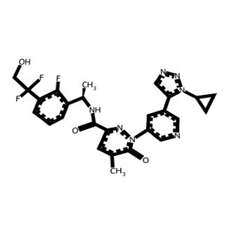 Cc1cc(C(=O)N[C@H](C)c2cccc(C(F)(F)CO)c2F)nn(-c2cncc(-c3cnnn3C3CC3)c2)c1=O